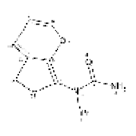 CC(C)N(C(N)=O)C1=C2OC=CC=C2CC1